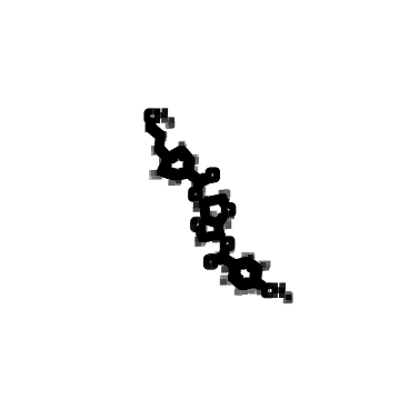 CCCCc1ccc(C(=O)O[C@@H]2COC3C2OC[C@@H]3OC(=O)c2ccc(C)cc2)cc1